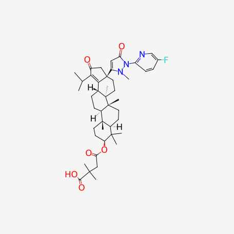 CC(C)C1=C2[C@H]3CC[C@@H]4[C@@]5(C)CC[C@H](OC(=O)CC(C)(C)C(=O)O)C(C)(C)[C@@H]5CC[C@@]4(C)[C@]3(C)CC[C@@]2(c2cc(=O)n(-c3ccc(F)cn3)n2C)CC1=O